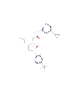 CCC[C@H]1CN(c2ncc(C(F)(F)F)cc2F)C(=O)N1CC(=O)Nc1cc(C2CC2)ccn1